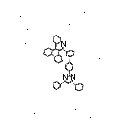 c1ccc(-c2cc(-c3ccccc3)nc(-c3ccc(-c4cccc(-c5nc6ccccc6c6c7ccccc7c7ccccc7c56)c4)cc3)n2)cc1